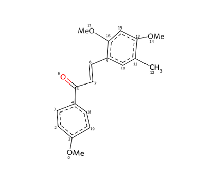 COc1ccc(C(=O)C=Cc2cc(C)c(OC)cc2OC)cc1